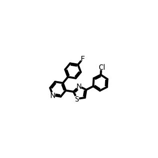 Fc1ccc(-c2ccncc2-c2nc(-c3cccc(Cl)c3)cs2)cc1